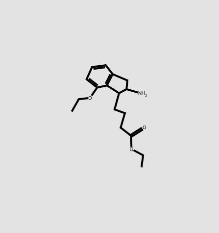 CCOC(=O)CCCC1c2c(cccc2OCC)CC1N